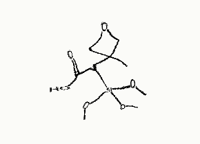 CO[Si](OC)(OC)C(C(=O)O)C1(C)COC1